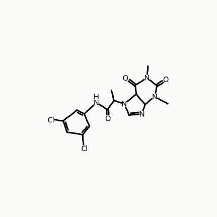 CC(C(=O)Nc1cc(Cl)cc(Cl)c1)N1C=NC2C1C(=O)N(C)C(=O)N2C